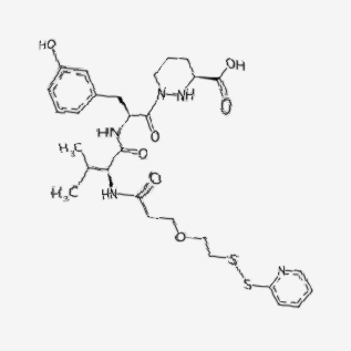 CC(C)[C@H](NC(=O)CCOCCSSc1ccccn1)C(=O)N[C@@H](Cc1cccc(O)c1)C(=O)N1CCC[C@@H](C(=O)O)N1